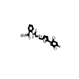 CNC(=O)c1ccccc1NC(=O)CNCc1ccc(-c2cc(Cl)c(F)cc2Cl)o1